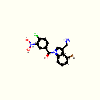 NCc1cn(C(=O)c2ccc(Cl)c(N(O)O)c2)c2cccc(Br)c12